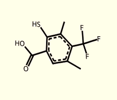 Cc1cc(C(=O)O)c(S)c(C)c1C(F)(F)F